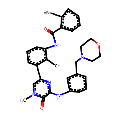 CCCCc1ccccc1C(=O)Nc1cccc(-c2cn(C)c(=O)c(Nc3cccc(CN4CCOCC4)c3)n2)c1C